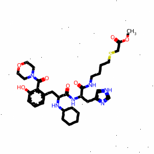 COC(=O)CSCCCCNC(=O)C(Cc1c[nH]cn1)NC(=O)C(Cc1cccc(O)c1C(=O)N1CCOCC1)NC1CCCCC1